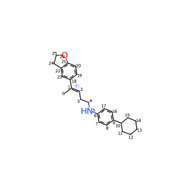 C/C(=C\CCNc1ccc(C2CCCCC2)cc1)c1ccc2c(c1)CCO2